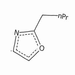 CCCCc1n[c]co1